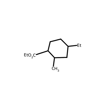 CCOC(=O)C1CCC(CC)CC1C